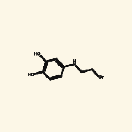 CC(C)CCNc1ccc(O)c(O)c1